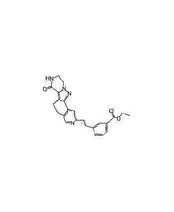 CCOC(=O)c1cccc(/C=C/c2cc3c(cn2)CCc2c-3nn3c2C(=O)NCC3)c1